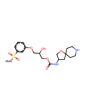 CNS(=O)(=O)c1cccc(OCC(O)COC(=O)NC2COC3(CCNCC3)C2)c1